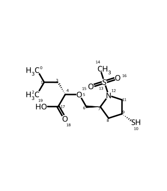 CC(C)C[C@H](OC[C@@H]1C[C@@H](S)CN1S(C)(=O)=O)C(=O)O